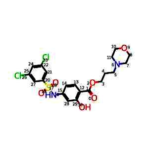 O=C(OCCCN1CCOCC1)c1ccc(NS(=O)(=O)c2cc(Cl)cc(Cl)c2)cc1O